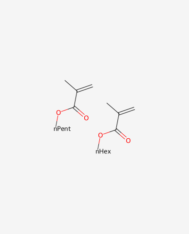 C=C(C)C(=O)OCCCCC.C=C(C)C(=O)OCCCCCC